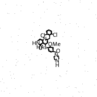 COc1cc(C(=O)N2CCNCC2)ccc1[AsH]c1cc(Cc2c(Cl)cccc2Cl)nc2cc[nH]c(=O)c12